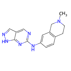 CN1CCc2ccc(Nc3ncc4cn[nH]c4n3)cc2C1